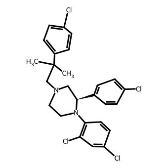 CC(C)(CN1CCN(c2ccc(Cl)cc2Cl)[C@H](c2ccc(Cl)cc2)C1)c1ccc(Cl)cc1